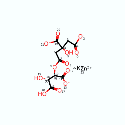 O=C([O-])CC(O)(CC(=O)O[C@@H](C(=O)[O-])[C@@H](O)C(=O)O)C(=O)[O-].[K+].[Zn+2]